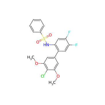 COc1cc(-c2cc(F)c(F)cc2NS(=O)(=O)c2ccccc2)cc(OC)c1Cl